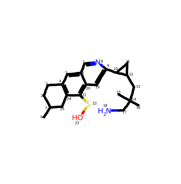 CC1CCc2cc3cnc(C4CC4CC(C)(C)CN)cc3c(SO)c2C1